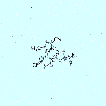 Cc1cc(C#N)nn1-c1nc(Cl)ccc1[C@@H]1C[C@H](C(F)F)CO1